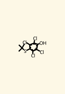 CC(C)(C)Sc1c(Cl)c(Cl)c(O)c(Cl)c1Cl